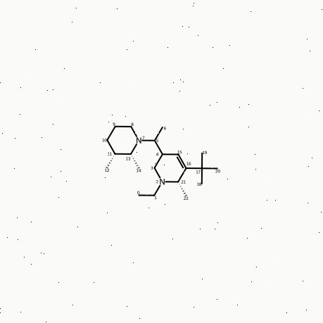 CCN1CC(C(C)N2CCC[C@@H](C)[C@H]2C)C=C(C(C)(C)C)[C@@H]1C